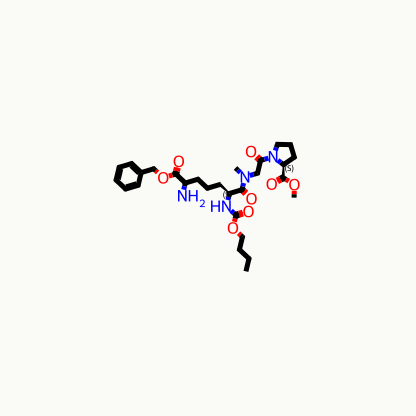 CCCCOC(=O)N[C@@H](CCCC(N)C(=O)OCc1ccccc1)C(=O)N(C)CC(=O)N1CCC[C@H]1C(=O)OC